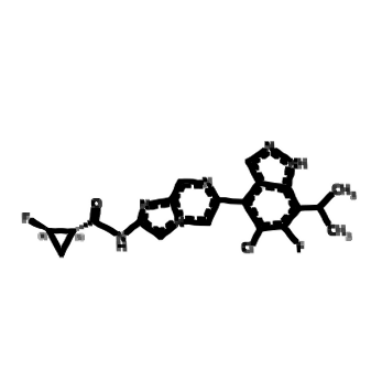 CC(C)c1c(F)c(Cl)c(-c2cn3cc(NC(=O)[C@@H]4C[C@H]4F)nc3cn2)c2cn[nH]c12